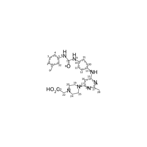 Cc1cccc(NC(=O)Nc2ccc(Nc3cc(N4CCN(CC(=O)O)CC4)nc(C)n3)cc2)c1